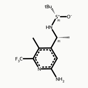 Cc1c([C@@H](C)N[S@@+]([O-])C(C)(C)C)cc(N)nc1C(F)(F)F